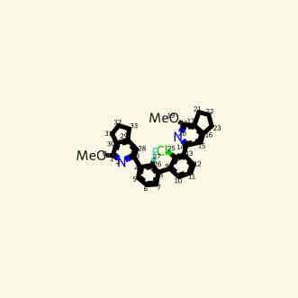 COc1nc(-c2cccc(-c3cccc(-c4cc5c(c(OC)n4)CCC5)c3Cl)c2F)cc2c1CCC2